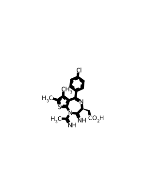 CC(=N)N1C(=N)[C@H](CC(=O)O)N=C(c2ccc(Cl)cc2)c2c1sc(C)c2C